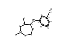 CC1CN(C)CCCC1Oc1cccc(Cl)c1